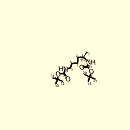 C[C@H](CCCCNC(=O)OC(C)(C)C)NC(=O)OC(C)(C)C